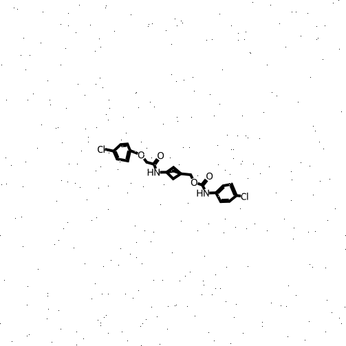 O=C(COc1ccc(Cl)cc1)NC12CC(COC(=O)Nc3ccc(Cl)cc3)(C1)C2